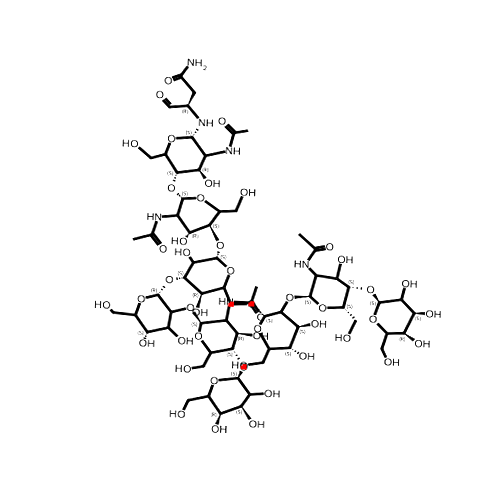 CC(=O)NC1C(O)[C@H](O[C@@H]2OC(CO)[C@H](O)[C@H](O)C2O)[C@H](CO)O[C@H]1OC1[C@@H](OCC2O[C@@H](O[C@@H]3C(CO)O[C@@H](O[C@@H]4C(CO)O[C@H](N[C@@H](C=O)CC(N)=O)C(NC(C)=O)[C@H]4O)C(NC(C)=O)[C@H]3O)C(O)[C@@H](O[C@H]3OC(CO)[C@@H](O)C(O)C3O[C@@H]3OC(CO)[C@@H](O[C@@H]4OC(CO)[C@H](O)[C@H](O)C4O)[C@H](O)C3NC(C)=O)[C@@H]2O)OC(CO)[C@@H](O)[C@@H]1O